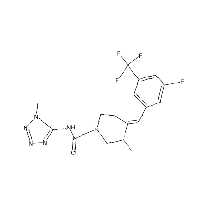 CC1CN(C(=O)Nc2nnnn2C)CCC1=Cc1cc(F)cc(C(F)(F)F)c1